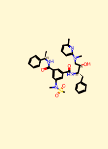 Cc1cccc(N(C)C[C@@H](O)[C@H](Cc2ccccc2)NC(=O)c2cc(C(=O)N[C@H](C)c3ccccc3)cc(N(C)S(C)(=O)=O)c2)n1